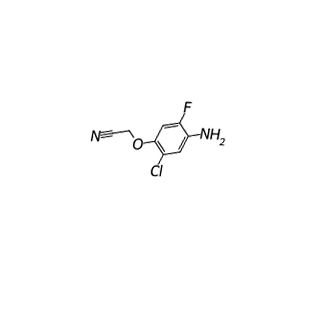 N#CCOc1cc(F)c(N)cc1Cl